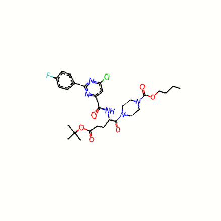 CCCCOC(=O)N1CCN(C(=O)C(CCC(=O)OC(C)(C)C)NC(=O)c2cc(Cl)nc(-c3ccc(F)cc3)n2)CC1